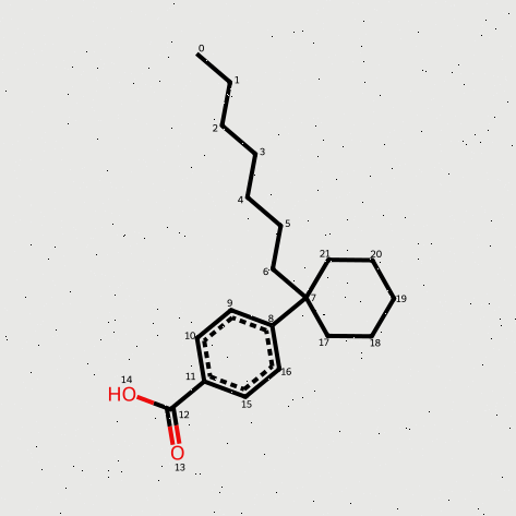 CCCCCCCC1(c2ccc(C(=O)O)cc2)CCCCC1